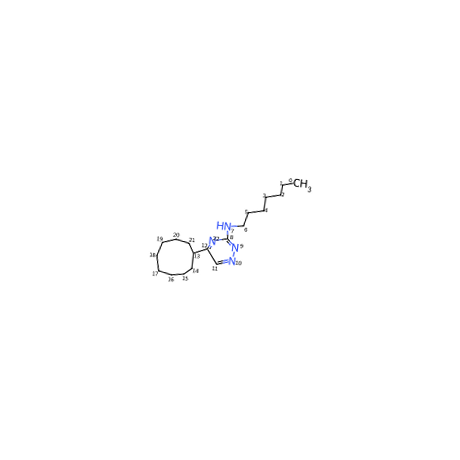 CCCCCCCNc1nncc(C2CCCCCCCC2)n1